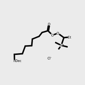 CCCCCCCCCCCCCCCCCC(=O)OOC(CC)[N+](C)(C)C.[Cl-]